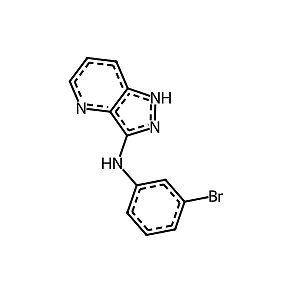 Brc1cccc(Nc2n[nH]c3cccnc23)c1